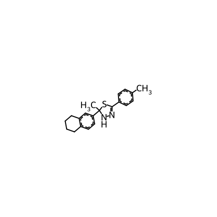 Cc1ccc(C2=NNC(C)(c3ccc4c(c3)CCCC4)S2)cc1